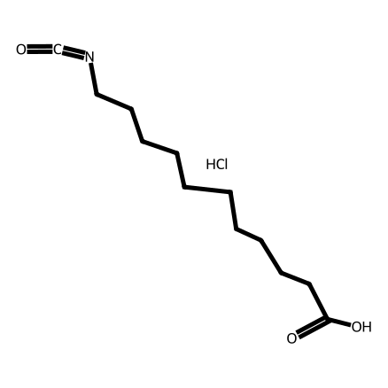 Cl.O=C=NCCCCCCCCCCC(=O)O